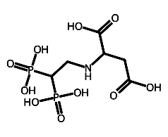 O=C(O)CC(NCC(P(=O)(O)O)P(=O)(O)O)C(=O)O